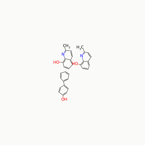 Cc1ccc2cccc(O)c2n1.Cc1ccc2cccc(O)c2n1.Oc1ccc(-c2ccccc2)cc1